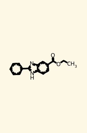 CCOC(=O)c1ccc2[nH]c(-c3ccccc3)nc2c1